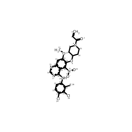 C=CC(=O)N1CCC(Oc2c(OC)cc3ncnc(Nc4ccc(Cl)c(Cl)c4F)c3c2[N+](=O)[O-])CC1